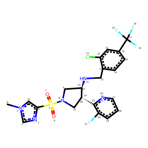 Cn1cnc(S(=O)(=O)N2C[C@@H](NCc3ccc(C(F)(F)F)cc3Cl)[C@H](c3ncccc3F)C2)c1